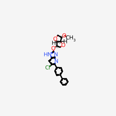 CO[C@@H]1CO[C@H]2[C@H]1OC[C@H]2Oc1nc2nc(-c3ccc(-c4ccccc4)cc3)c(Cl)cc2[nH]1